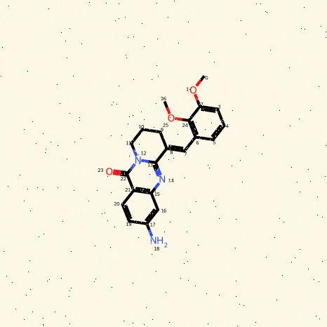 COc1cccc(C=C2CCCn3c2nc2cc(N)ccc2c3=O)c1OC